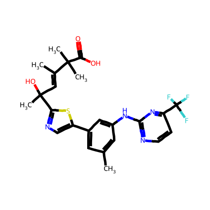 CC(=CC(C)(O)c1ncc(-c2cc(C)cc(Nc3nccc(C(F)(F)F)n3)c2)s1)C(C)(C)C(=O)O